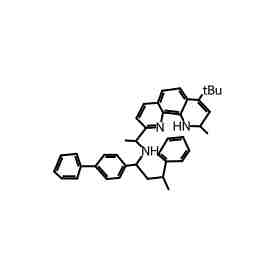 CC1C=C(C(C)(C)C)c2ccc3ccc(C(C)NC(CC(C)c4ccccc4)c4ccc(-c5ccccc5)cc4)nc3c2N1